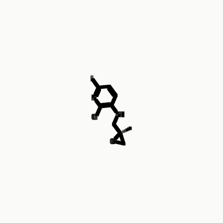 C[C@]1(CNc2ccc(I)nc2Cl)CO1